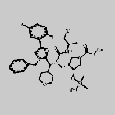 C[C@H](CO)NC(=O)N(C[C@@H]1CN(C(=O)OC(C)(C)C)C[C@H]1O[Si](C)(C)C(C)(C)C)[C@@H](c1nc(-c2cc(F)ccc2F)cn1Cc1ccccc1)C1CCOCC1